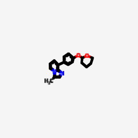 Cc1cnc2c(-c3ccc(OC4CCCCO4)cc3)cccn12